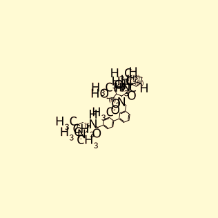 COc1c(CN2O[C@@H](CO)C(C(C)O)C2C(=O)NC2C[C@H]3C[C@@H]([C@@H]2C)C3(C)C)cccc1-c1ccc(C(=O)N[C@@H](CC(C)C)CN(C)C)cc1